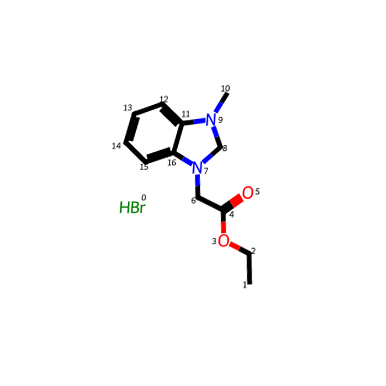 Br.CCOC(=O)CN1CN(C)c2ccccc21